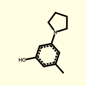 Cc1cc(O)cc(N2CCCC2)c1